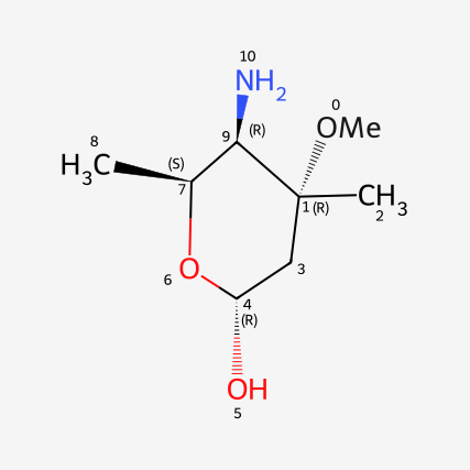 CO[C@]1(C)C[C@H](O)O[C@@H](C)[C@H]1N